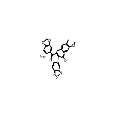 COc1ccc(CC(C(=O)c2ccc3c(c2)OCO3)=C(C(=O)[O-])c2ccc3nsnc3c2)cc1C.[Na+]